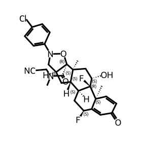 CN(CC#N)C(=O)[C@@]12ON(c3ccc(Cl)cc3)C[C@@H]1C[C@H]1[C@@H]3C[C@H](F)C4=CC(=O)C=C[C@]4(C)[C@@]3(F)[C@@H](O)C[C@@]12C